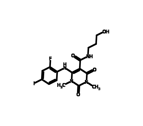 Cn1c(Nc2ccc(I)cc2F)c(C(=O)NCCCO)c(=O)n(C)c1=O